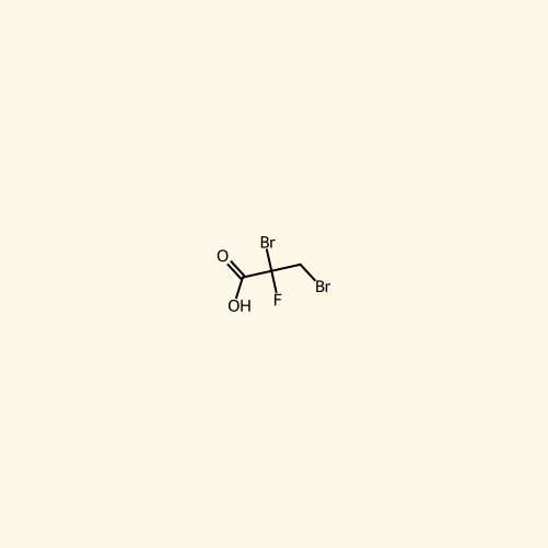 O=C(O)C(F)(Br)CBr